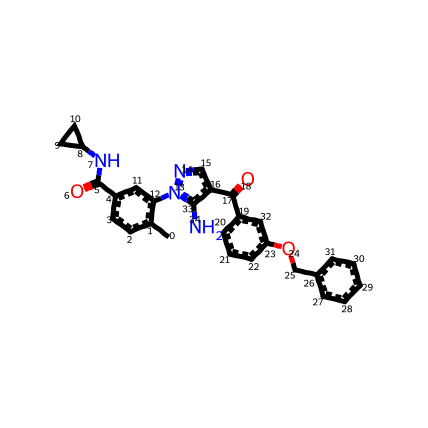 Cc1ccc(C(=O)NC2CC2)cc1-n1ncc(C(=O)c2cccc(OCc3ccccc3)c2)c1N